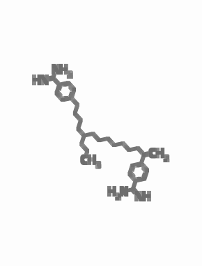 C=C(CCCCCCCC(CCC)CCCCc1ccc(C(=N)N)cc1)c1ccc(C(=N)N)cc1